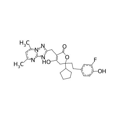 Cc1cc(C)n2nc(CC3=C(O)CC(CCc4ccc(O)c(F)c4)(C4CCCC4)OC3=O)nc2n1